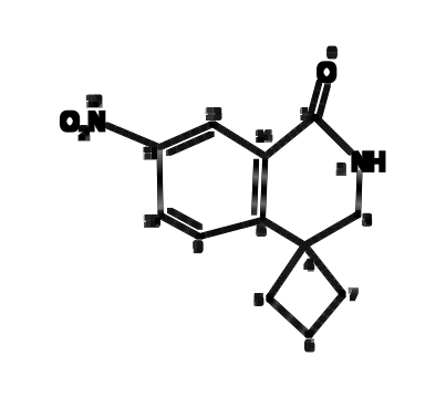 O=C1NCC2(CCC2)c2ccc([N+](=O)[O-])cc21